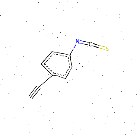 C#Cc1ccc(N=C=S)cc1